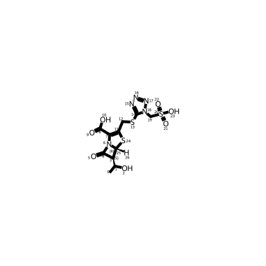 CC(O)[C@H]1C(=O)N2C(C(=O)O)=C(CSc3nnnn3CS(=O)(=O)O)S[C@H]12